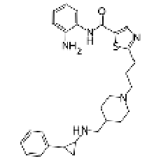 Nc1ccccc1NC(=O)c1cnc(CCCN2CCC(CNC3CC3c3ccccc3)CC2)s1